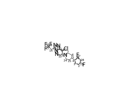 Fc1ccc(C2CCN(c3cnn4c(CC(F)(F)F)nnc4c3Cl)CC2)c(F)c1